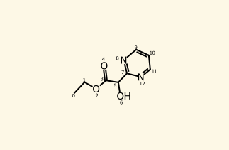 CCOC(=O)C(O)c1ncccn1